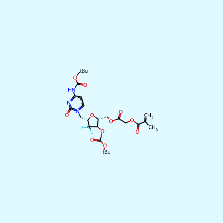 C=C(C)C(=O)OCC(=O)OC[C@H]1O[C@@H](Cn2ccc(NC(=O)OC(C)(C)C)nc2=O)C(F)(F)[C@@H]1OC(=O)OC(C)(C)C